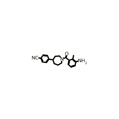 Cc1c(N)cccc1C(=O)N1CCCC(c2ccc(C#N)cc2)CC1